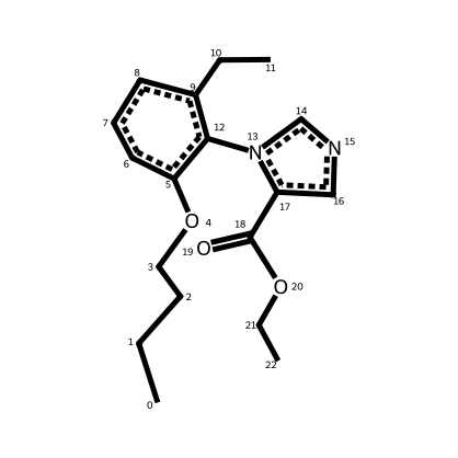 CCCCOc1cccc(CC)c1-n1cncc1C(=O)OCC